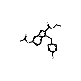 CCOC(=O)c1cc2cc(OC(C)=O)ccc2n1Cc1ccc(Cl)cc1